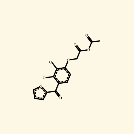 CC(=O)OC(=O)COc1ccc(C(=O)c2cccs2)c(Cl)c1Cl